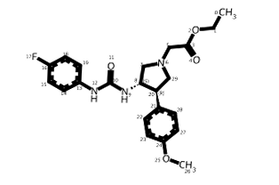 CCOC(=O)CN1C[C@@H](NC(=O)Nc2ccc(F)cc2)[C@H](c2ccc(OC)cc2)C1